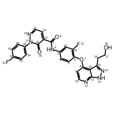 O=C(Nc1ccc(Oc2ccnc3[nH]nc(CCO)c23)c(F)c1)c1ccnn(-c2ccc(F)cc2)c1=O